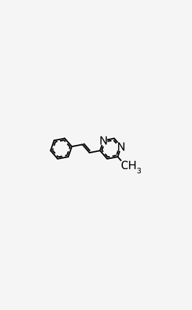 Cc1cc(C=Cc2ccccc2)ncn1